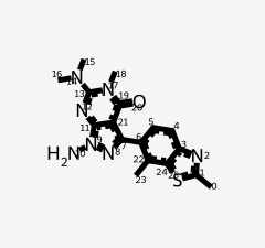 Cc1nc2ccc(-c3nn(N)c4nc(N(C)C)n(C)c(=O)c34)c(C)c2s1